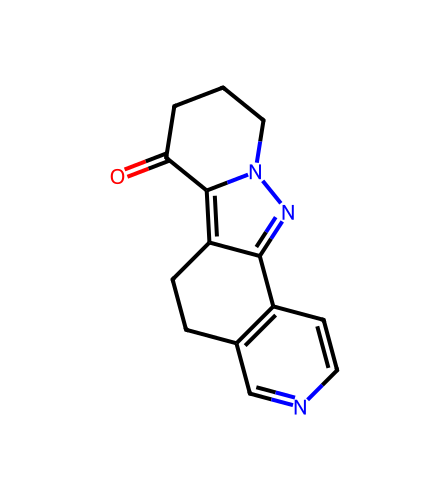 O=C1CCCn2nc3c(c21)CCc1cnccc1-3